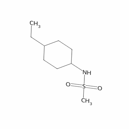 CCC1CCC(NS(C)(=O)=O)CC1